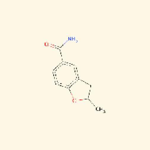 CC1Cc2cc(C(N)=O)ccc2O1